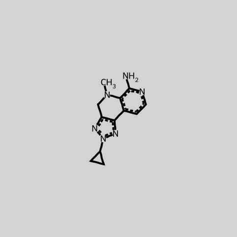 CN1Cc2nn(C3CC3)nc2-c2ccnc(N)c21